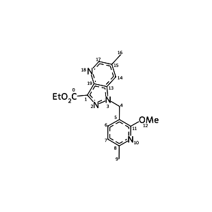 CCOC(=O)c1nn(Cc2ccc(C)nc2OC)c2cc(C)cnc12